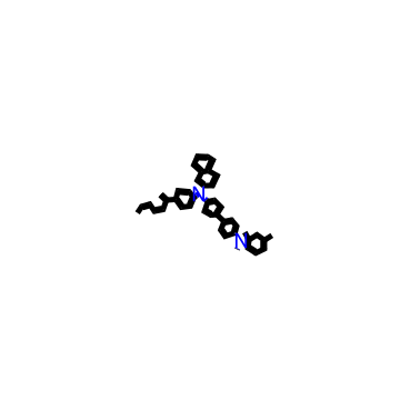 C=C(/C=C\C=C/C)c1ccc(N(c2ccc(-c3ccc(N(C)C4(C)C=CC=C(C)C4)cc3)cc2)c2ccc3ccccc3c2)cc1